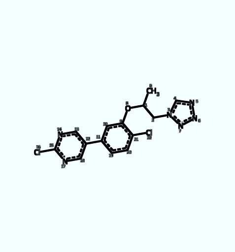 CC(Cn1cnnn1)Oc1cc(-c2cnc(Cl)nc2)ccc1Cl